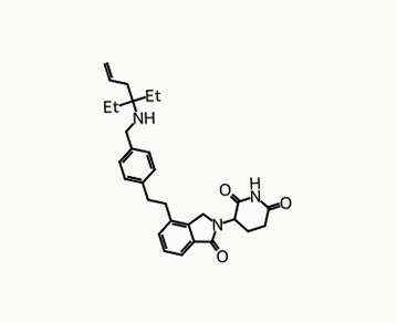 C=CCC(CC)(CC)NCc1ccc(CCc2cccc3c2CN(C2CCC(=O)NC2=O)C3=O)cc1